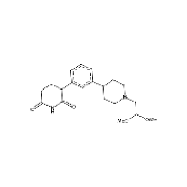 COC(CN1CCC(c2cccc(C3CCC(=O)NC3=O)c2)CC1)OC